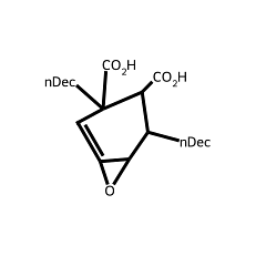 CCCCCCCCCCC1C2OC2=CC(CCCCCCCCCC)(C(=O)O)C1C(=O)O